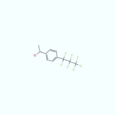 CC([O])c1ccc(C(F)(F)C(F)(F)C(F)(F)F)cc1